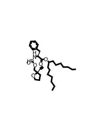 C#C[C@@]1(CO[PH](=O)N[C@@H](Cc2ccccc2)C(=O)OC(CCCCCCC)CCCCCCC)CCCO1